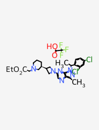 CCOC(=O)CN1CCC[C@@H](C2CN(c3cnc4c(C)nn(C(C)c5ccc(Cl)cc5Cl)c4n3)C2)C1.O=C(O)C(F)(F)F